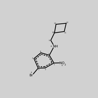 O=[N+]([O-])c1cc(Br)ccc1NCC1CCC1